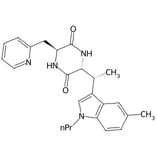 CCCn1cc([C@@H](C)[C@H]2NC(=O)[C@H](Cc3ccccn3)NC2=O)c2cc(C)ccc21